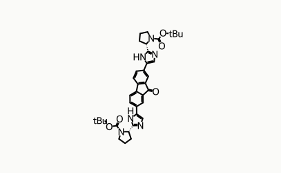 CC(C)(C)OC(=O)N1CCC[C@H]1c1ncc(-c2ccc3c(c2)C(=O)c2cc(-c4cnc([C@@H]5CCCN5C(=O)OC(C)(C)C)[nH]4)ccc2-3)[nH]1